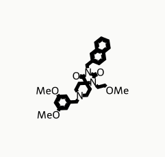 COCCN1C(=O)N(Cc2ccc3ccccc3c2)C(=O)C12CCN(Cc1cc(OC)cc(OC)c1)CC2